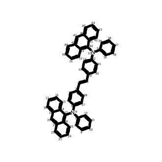 C(=C\c1ccc(N(c2ccccc2)c2c3ccccc3cc3ccccc23)cc1)/c1ccc(N(c2ccccc2)c2c3ccccc3cc3ccccc23)cc1